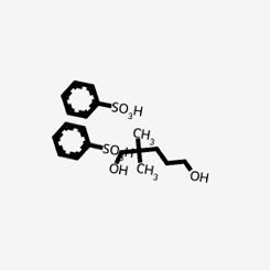 CC(C)(CO)CCCO.O=S(=O)(O)c1ccccc1.O=S(=O)(O)c1ccccc1